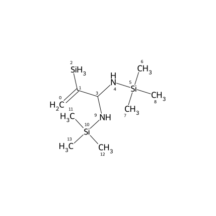 C=C([SiH3])C(N[Si](C)(C)C)N[Si](C)(C)C